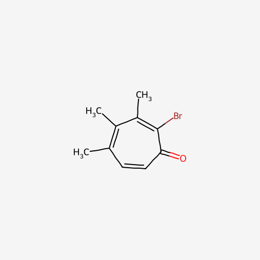 Cc1ccc(=O)c(Br)c(C)c1C